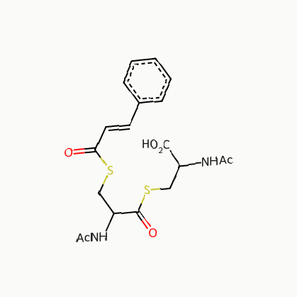 CC(=O)NC(CSC(=O)C(CSC(=O)C=Cc1ccccc1)NC(C)=O)C(=O)O